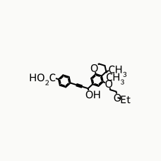 CCOCCOc1cc(C(O)C#Cc2ccc(C(=O)O)cc2)cc2c1C(C)(C)CCO2